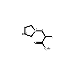 COC(=O)C(C)CN1CCNC1